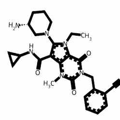 CCn1c(N2CCC[C@@H](N)C2)c(C(=O)NC2CC2)c2c1c(=O)n(Cc1ccccc1C#N)c(=O)n2C